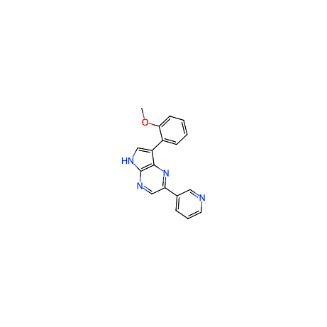 COc1ccccc1-c1c[nH]c2ncc(-c3cccnc3)nc12